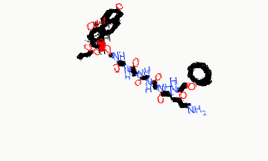 CCCC1O[C@@H]2C[C@H]3[C@@H]4CCC5=CC(=O)C=C[C@]5(C)[C@H]4[C@@H](O)C[C@]3(C)[C@]2(C(=O)COCNC(=O)CNC(=O)CNC(=O)CNC(=O)CNC(=O)[C@H](CCCCN)NC(=O)COC2C#CCCCCC2)O1